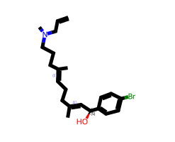 C=CCN(C)CCC/C(C)=C/CC/C(C)=C/[C@H](O)c1ccc(Br)cc1